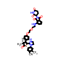 CC1(C)C(=O)SC(C2NCCN2c2ccc(C#N)c(C(F)(F)F)c2)=C1c1ccc(OCCOCCNc2cccc3c2C(=O)N(C2CCC(=O)NC2=O)C3=O)cc1